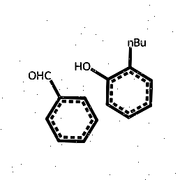 CCCCc1ccccc1O.O=Cc1ccccc1